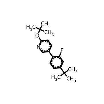 CC(C)(C)Oc1ccc(-c2ccc(C(C)(C)C)cc2F)cn1